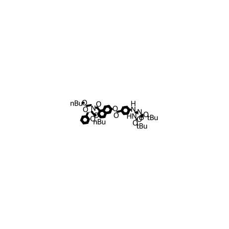 CCCCOC(=O)CN(C(=O)c1cccc2cc(OC(=O)c3ccc(N/C(=N/C(=O)OC(C)(C)C)NC(=O)OC(C)(C)C)cc3)ccc12)[C@@H](Cc1ccccc1)C(=O)OCCCC